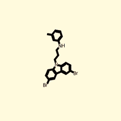 Cc1cccc(NCCCn2c3ccc(Br)cc3c3cc(Br)ccc32)c1